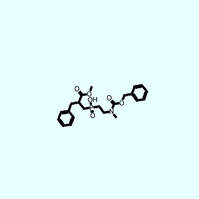 COC(=O)C(Cc1ccccc1)CP(=O)(O)CCN(C)C(=O)OCc1ccccc1